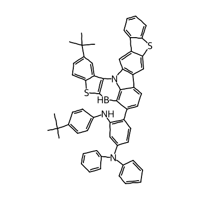 CC(C)(C)c1ccc(Nc2cc(N(c3ccccc3)c3ccccc3)ccc2-c2ccc3c4cc5sc6ccccc6c5cc4n4c3c2Bc2sc3ccc(C(C)(C)C)cc3c2-4)cc1